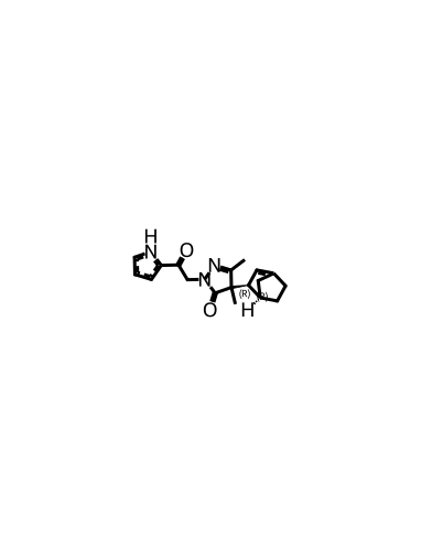 CC1=NN(CC(=O)c2ccc[nH]2)C(=O)C1(C)[C@H]1C=C2CC[C@@H]1C2